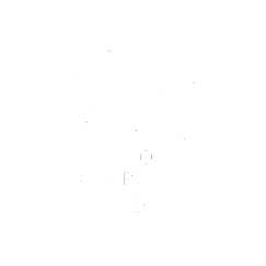 O=POC(c1ccccc1)(c1ccccc1)c1ccccc1